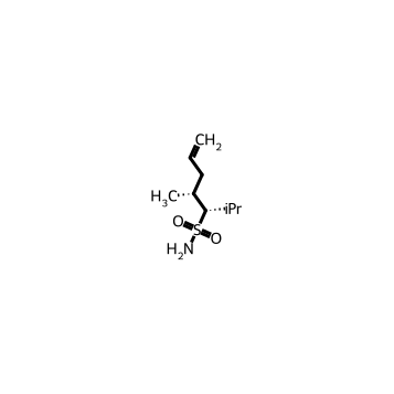 C=CC[C@@H](C)[C@H](C(C)C)S(N)(=O)=O